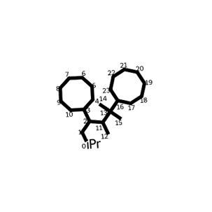 CC(C)CC(C1CCCCCCC1)C(C)C(C)(C)C1CCCCCCC1